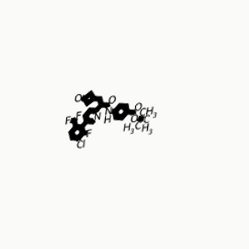 CC(C)(C)OC(=O)c1ccc(NC(=O)C(CC2CC(=O)C2)c2ccc(-c3c(C(F)F)ccc(Cl)c3F)cn2)cc1